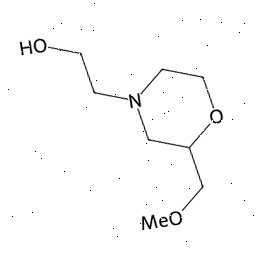 COCC1CN(CCO)CCO1